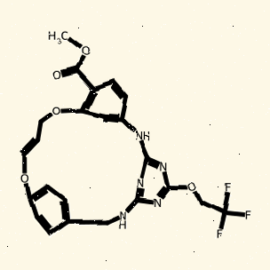 COC(=O)c1ccc2cc1OC/C=C/Oc1ccc(cc1)CNc1nc(nc(OCC(F)(F)F)n1)N2